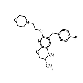 CC1COc2nc(OCCN3CCOCC3)c(Cc3ccc(F)cc3)cc2N1